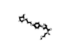 COCCN(C)C(=O)c1cnn(-c2ccc(OCCCN3CCCC3C)cc2)c1